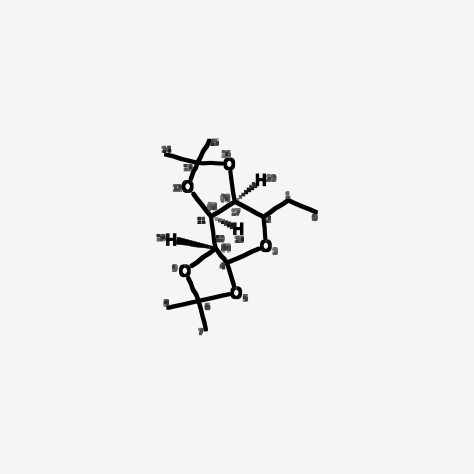 CCC1OC2OC(C)(C)O[C@@H]2[C@H]2OC(C)(C)O[C@@H]12